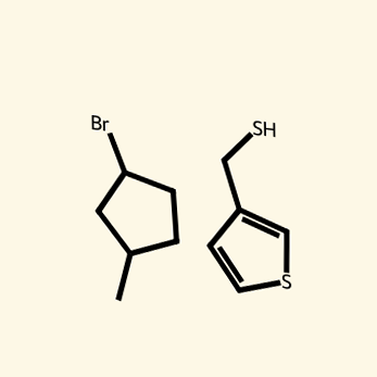 CC1CCC(Br)C1.SCc1ccsc1